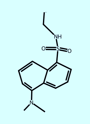 [CH2]CNS(=O)(=O)c1cccc2c(N(C)C)cccc12